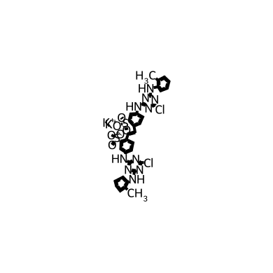 Cc1ccccc1Nc1nc(Cl)nc(Nc2ccc(C=Cc3ccc(Nc4nc(Cl)nc(Nc5ccccc5C)n4)cc3S(=O)(=O)[O-])c(S(=O)(=O)[O-])c2)n1.[K+].[K+]